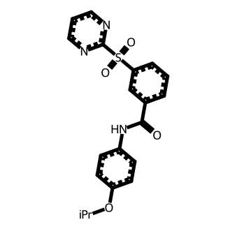 CC(C)Oc1ccc(NC(=O)c2cccc(S(=O)(=O)c3ncccn3)c2)cc1